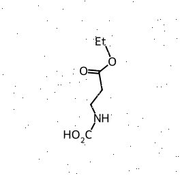 CCOC(=O)CCNC(=O)O